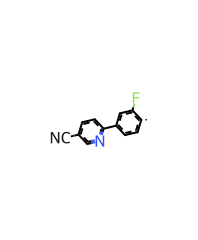 N#Cc1ccc(-c2cc[c]c(F)c2)nc1